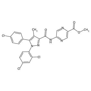 COC(=O)c1cnc(NC(=O)c2nn(-c3ccc(Cl)cc3Cl)c(-c3ccc(Cl)cc3)c2C)cn1